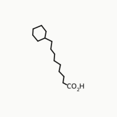 O=C(O)CCCCCCCCC1CCCCC1